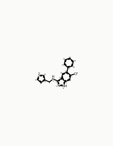 Clc1cc2[nH]nc(NCc3ccsc3)c2cc1-c1ccccc1